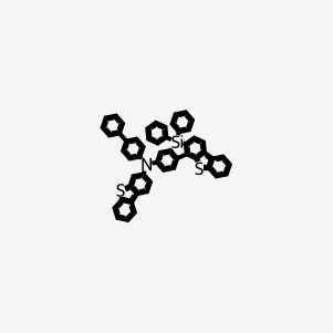 c1ccc(-c2ccc(N(c3ccc4c(c3)[Si](c3ccccc3)(c3ccccc3)c3ccc5c(sc6ccccc65)c3-4)c3ccc4c(c3)sc3ccccc34)cc2)cc1